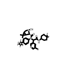 CC1(C)C2CN(C#N)[C@@H](C(=O)N(c3ccc(S(F)(F)(F)(F)F)cc3)C(C(=O)NC3CCC(F)(F)CC3)c3cncc(F)c3)C21